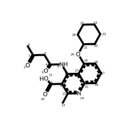 CC(=O)CC(=O)Nc1c(C(=O)O)c(C)nc2cccc(OC3CCCCC3)c12